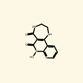 O=C1NCCNc2c1c(=O)n(O)c1ncccc21